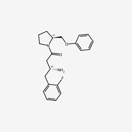 N[C@@H](CC(=O)N1CCC[C@H]1COc1ccccc1)Cc1ccccc1F